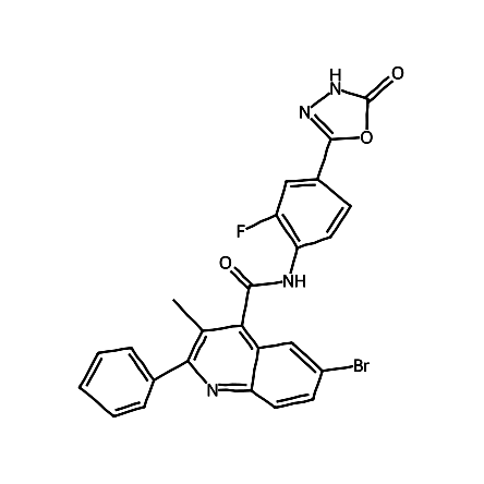 Cc1c(-c2ccccc2)nc2ccc(Br)cc2c1C(=O)Nc1ccc(-c2n[nH]c(=O)o2)cc1F